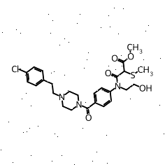 COC(=O)C(SC)C(=O)N(CCO)c1ccc(C(=O)N2CCN(CCc3ccc(Cl)cc3)CC2)cc1